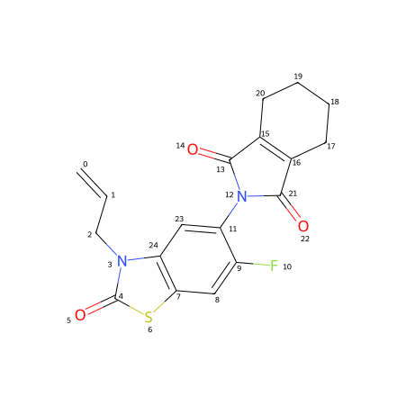 C=CCn1c(=O)sc2cc(F)c(N3C(=O)C4=C(CCCC4)C3=O)cc21